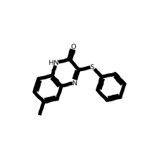 Cc1ccc2[nH]c(=O)c(Sc3ccccc3)nc2c1